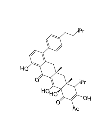 CC(=O)C1=C(O)C(C(C)C)[C@@]2(C)C[C@@]3(C)Cc4c(-c5ccc(CCC(C)C)cc5)ccc(O)c4C(=O)C3=C(O)[C@@]2(O)C1=O